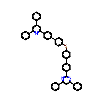 c1ccc(-c2cc(-c3ccccc3)nc(-c3ccc(-c4ccc(Sc5ccc(-c6ccc(-c7nc(-c8ccccc8)cc(-c8ccccc8)n7)cc6)cc5)cc4)cc3)c2)cc1